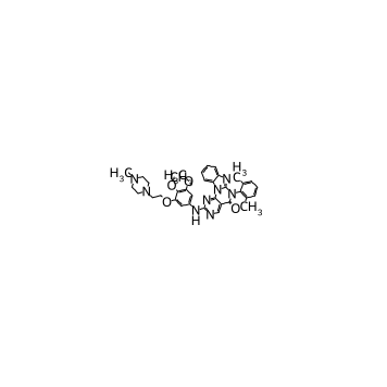 COc1cc(Nc2ncc3c(=O)n(-c4c(C)cccc4C)c4nc5ccccc5n4c3n2)cc(OCCN2CCN(C)CC2)c1OC